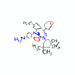 Cc1ccc2c(c1)N(c1ccc(N)cc1)C(=O)N(C1CC(C)(C)CC(C)(C)C1)N=C2C1CCOCC1